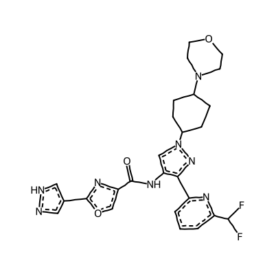 O=C(Nc1cn(C2CCC(N3CCOCC3)CC2)nc1-c1cccc(C(F)F)n1)c1coc(-c2cn[nH]c2)n1